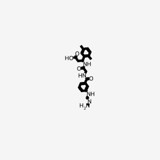 Cc1ccc(C)c(C(CC(=O)O)NC(=O)CNC(=O)c2cccc(NC=NN)c2)c1